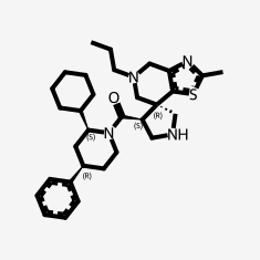 CCCN1Cc2nc(C)sc2[C@]2(CNC[C@H]2C(=O)N2CC[C@@H](c3ccccc3)C[C@H]2C2CCCCC2)C1